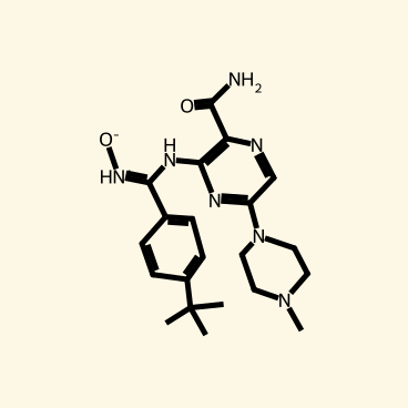 CN1CCN(c2cnc(C(N)=O)c(N/C(=[NH+]\[O-])c3ccc(C(C)(C)C)cc3)n2)CC1